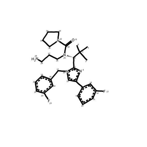 CC(C)(C)[C@H](c1nc(-c2cccc(F)c2)cn1Cc1cccc(F)c1)N(CCCN)C(=O)N1CCCC1